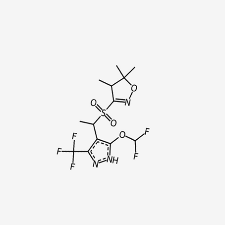 CC1C(S(=O)(=O)C(C)c2c(C(F)(F)F)n[nH]c2OC(F)F)=NOC1(C)C